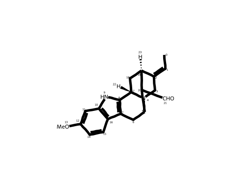 C/C=C1/CN2C3Cc4c([nH]c5cc(OC)ccc45)[C@@H]2C[C@@H]1C3C=O